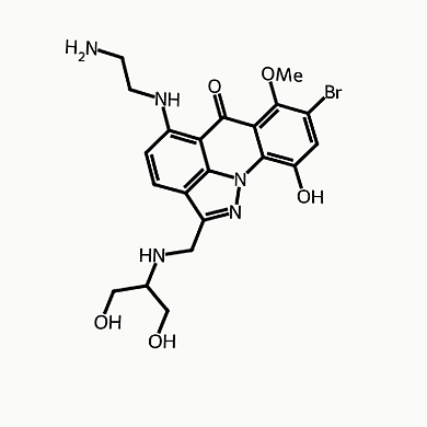 COc1c(Br)cc(O)c2c1c(=O)c1c(NCCN)ccc3c(CNC(CO)CO)nn2c31